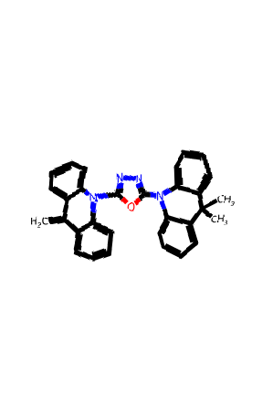 C=C1c2ccccc2N(c2nnc(N3c4ccccc4C(C)(C)c4ccccc43)o2)c2ccccc21